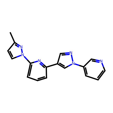 Cc1ccn(-c2cccc(-c3cnn(-c4cccnc4)c3)n2)n1